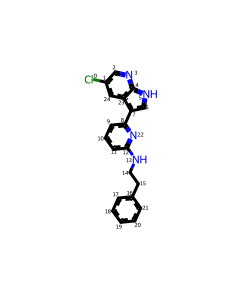 Clc1cnc2[nH]cc(-c3cccc(NCCc4ccccc4)n3)c2c1